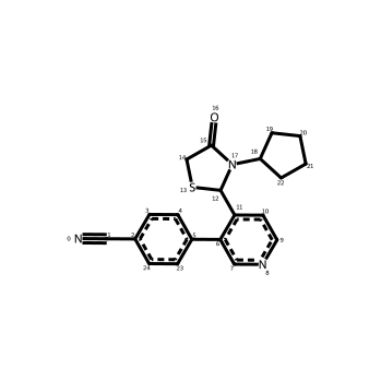 N#Cc1ccc(-c2cnccc2C2SCC(=O)N2C2CCCC2)cc1